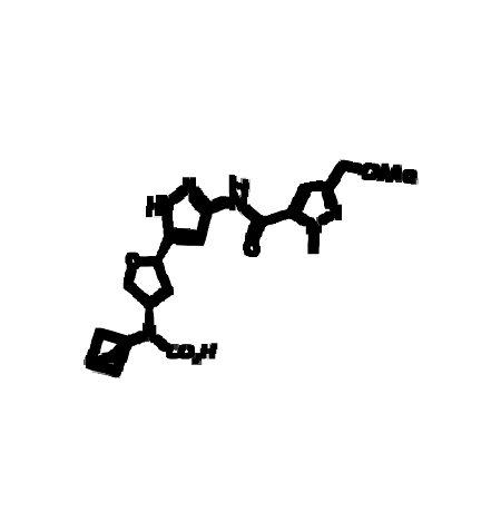 COCc1cc(C(=O)Nc2cc([C@H]3C[C@@H](N(C(=O)O)C45CC(C4)C5)CO3)[nH]n2)n(C)n1